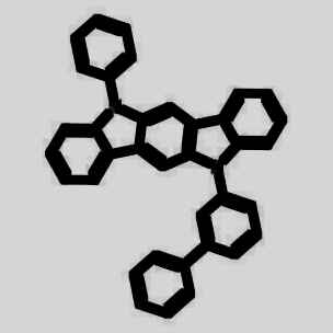 c1ccc(-c2cccc(-n3c4ccccc4c4cc5c(cc43)c3ccccc3n5-c3ccccc3)c2)cc1